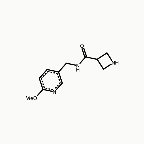 COc1ccc(CNC(=O)C2CNC2)cn1